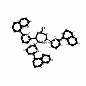 CCC1CC(c2cccc(-c3cccc4ccccc34)n2)[C@@H](c2cccc(-c3cccc4ccccc34)n2)N[C@H](c2cccc(-c3cccc4ccccc34)n2)C1